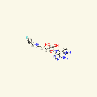 Nc1ncnc2c1c(-c1cc[nH]n1)cn2[C@@H]1O[C@H](/C=C/CCCNCC23CC(F)(C2)C3)[C@@H](O)[C@H]1O